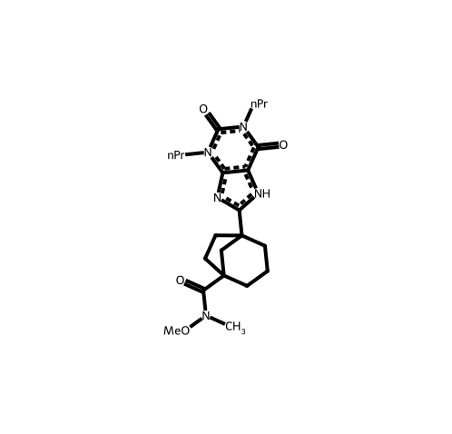 CCCn1c(=O)c2[nH]c(C34CCCC(C(=O)N(C)OC)(CC3)C4)nc2n(CCC)c1=O